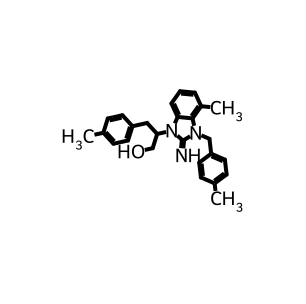 Cc1ccc(CC(CO)n2c(=N)n(Cc3ccc(C)cc3)c3c(C)cccc32)cc1